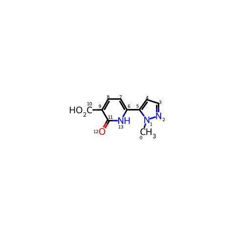 Cn1nccc1-c1ccc(C(=O)O)c(=O)[nH]1